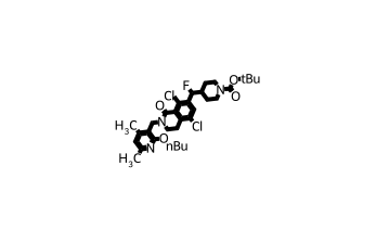 CCCCOc1nc(C)cc(C)c1CN1CCc2c(Cl)cc(C(F)C3CCN(C(=O)OC(C)(C)C)CC3)c(Cl)c2C1=O